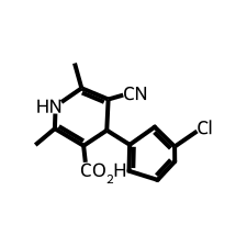 CC1=C(C#N)C(c2cccc(Cl)c2)C(C(=O)O)=C(C)N1